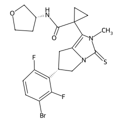 Cn1c(C2(C(=O)N[C@@H]3CCOC3)CC2)c2n(c1=S)C[C@H](c1c(F)ccc(Br)c1F)C2